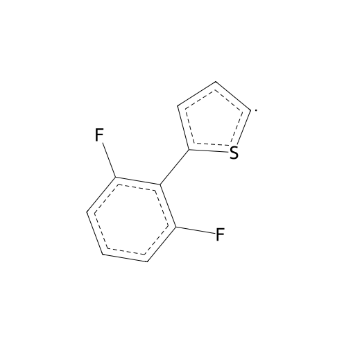 Fc1cccc(F)c1-c1cc[c]s1